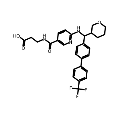 O=C(O)CCNC(=O)c1ccc(NC(c2ccc(-c3ccc(C(F)(F)F)cc3)cc2)C2CCCOC2)nc1